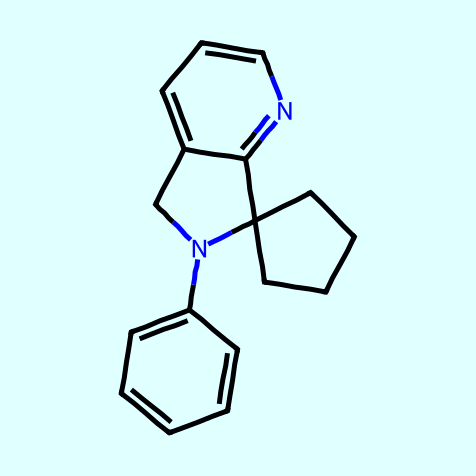 c1ccc(N2Cc3cccnc3C23CCCC3)cc1